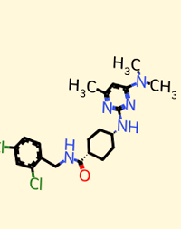 Cc1cc(N(C)C)nc(N[C@H]2CC[C@@H](C(=O)NCc3ccc(Cl)cc3Cl)CC2)n1